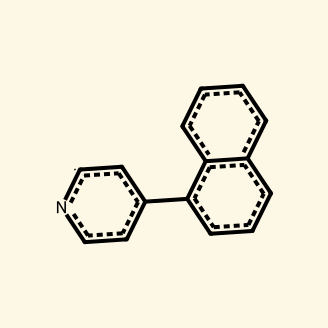 [c]1cc(-c2cccc3ccccc23)ccn1